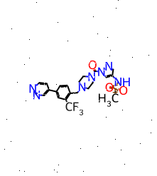 CS(=O)(=O)Nc1cnn(C(=O)N2CCN(Cc3ccc(-c4ccnnc4)cc3C(F)(F)F)CC2)c1